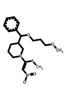 COCCCOC(c1ccccc1)C1CCCN(C(=C[N+](=O)[O-])SC)C1